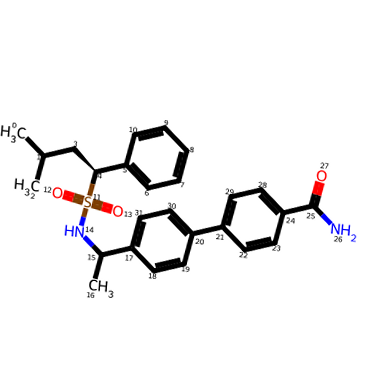 CC(C)C[C@@H](c1ccccc1)S(=O)(=O)NC(C)c1ccc(-c2ccc(C(N)=O)cc2)cc1